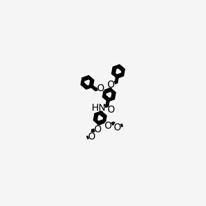 COCOc1ccc(NC(=O)c2ccc(OCc3ccccc3)c(OCc3ccccc3)c2)cc1OCOC